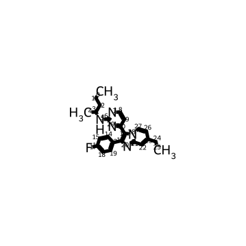 CCCC(C)Nc1nccc(-c2c(-c3ccc(F)cc3)nc3cc(CC)ccn23)n1